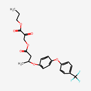 CCCOC(=O)C(=O)COC(=O)CC(C)Oc1ccc(Oc2ccc(C(F)(F)F)cc2)cc1